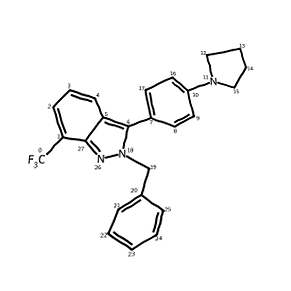 FC(F)(F)c1cccc2c(-c3ccc(N4CCCC4)cc3)n(Cc3ccccc3)nc12